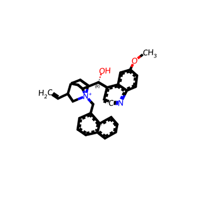 C=CC1C[N+]2(Cc3cccc4ccccc34)CCC1CC2[C@H](O)c1ccnc2ccc(OC)cc12